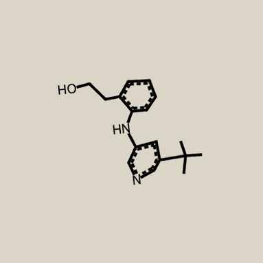 CC(C)(C)c1cncc(Nc2ccccc2CCO)c1